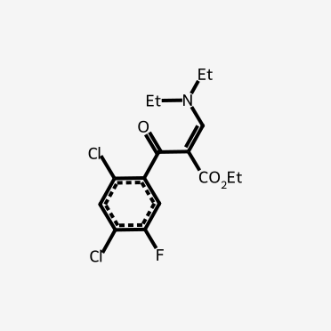 CCOC(=O)/C(=C/N(CC)CC)C(=O)c1cc(F)c(Cl)cc1Cl